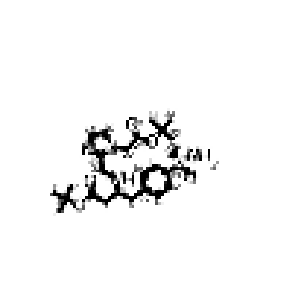 CC(C)(C)OC(=O)CC(Cc1ccc(S(N)(=O)=O)cc1)NCc1nccn1CC(=O)OC(C)(C)C